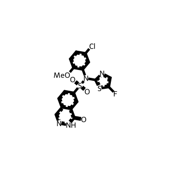 COc1ccc(Cl)cc1N(c1ncc(F)s1)S(=O)(=O)c1ccc2cn[nH]c(=O)c2c1